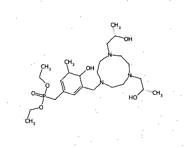 CCOP(=O)(CC1=CC(C)C(O)C(CN2CCN(C[C@H](C)O)CCN(C[C@H](C)O)CC2)=C1)OCC